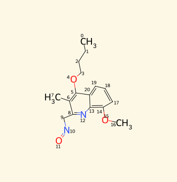 CCCCOc1c(C)c(CN=O)nc2c(OC)cccc12